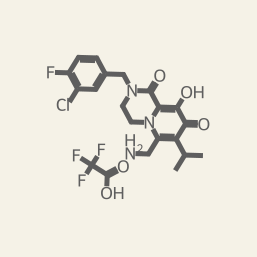 CC(C)c1c(CN)n2c(c(O)c1=O)C(=O)N(Cc1ccc(F)c(Cl)c1)CC2.O=C(O)C(F)(F)F